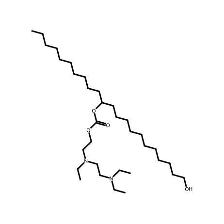 CCCCCCCCCCC(CCCCCCCCCCCO)OC(=O)OCCN(CC)CCN(CC)CC